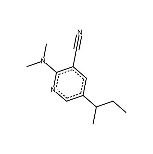 CCC(C)c1cnc(N(C)C)c(C#N)c1